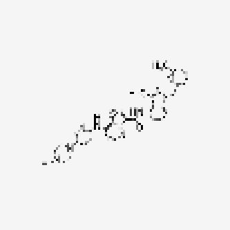 CCN1CCN(c2ccc(Nc3ncnc4c(C(=O)Nc5cccc6c5c(C)nn6Cc5cccc(C)n5)csc34)nc2)CC1